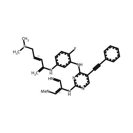 C=C(/C=C/CN(C)C)Nc1ccc(F)c(Nc2nc(N/C(C=N)=C/NC)ncc2C#Cc2ccccc2)c1